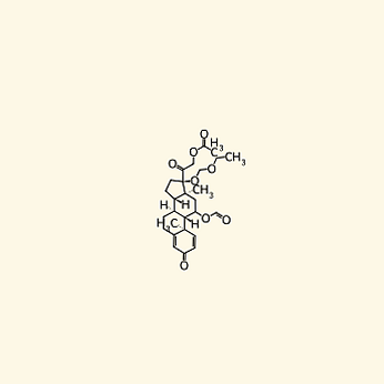 CCOCO[C@]1(C(=O)COC(C)=O)CC[C@H]2[C@@H]3CCC4=CC(=O)C=C[C@]4(C)[C@H]3C(OC=O)C[C@@]21C